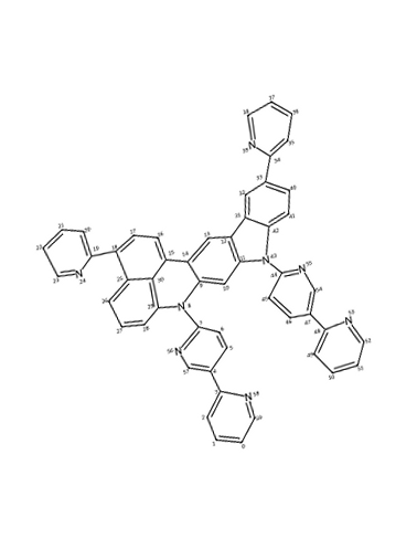 c1ccc(-c2ccc(N3c4cc5c(cc4-c4ccc(-c6ccccn6)c6cccc3c46)c3cc(-c4ccccn4)ccc3n5-c3ccc(-c4ccccn4)cn3)nc2)nc1